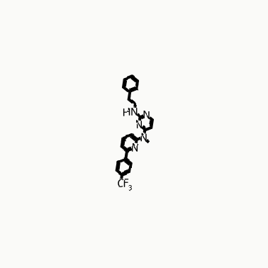 CN(c1cccc(-c2ccc(C(F)(F)F)cc2)n1)c1ccnc(NCCc2ccccc2)n1